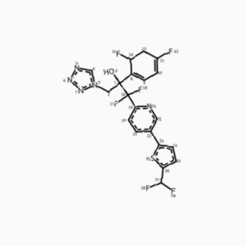 OC(Cn1cnnn1)(C1=CC=C(F)CC1F)C(F)(F)c1ccc(-c2ccc(C(F)F)s2)cn1